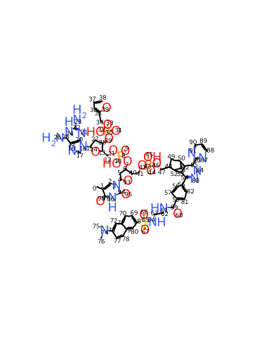 Cc1cn([C@H]2CC(OP(=O)(O)OC[C@H]3O[C@@H](n4cnc5c4N=C(N)NC5N)CC3OP(=O)(O)OCc3ccco3)[C@@H](COP(=O)(O)OCC3CC4CC3C3C(c5ccc(C(=O)NCCNS(=O)(=O)c6ccc7cc(N(C)C)ccc7c6)cc5)=NN=C(c5ncccn5)C43)O2)c(=O)[nH]c1=O